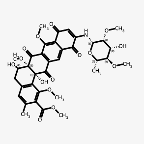 COC(=O)c1c(C)cc2c(c1OC)[C@]1(O)C(=O)c3cc4c(c(OC)c3C(=O)[C@]1(OC)[C@H](O)C2)C(=O)C=C(N[C@H]1O[C@@H](C)[C@H](OC)[C@@H](O)[C@H]1OC)C4=O